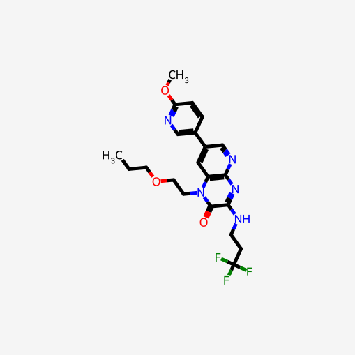 CCCOCCn1c(=O)c(NCCC(F)(F)F)nc2ncc(-c3ccc(OC)nc3)cc21